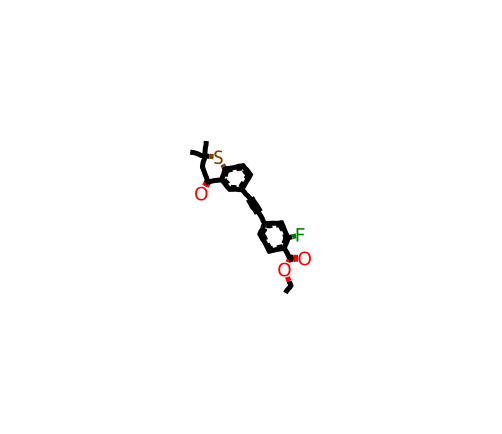 CCOC(=O)c1ccc(C#Cc2ccc3c(c2)C(=O)CC(C)(C)S3)cc1F